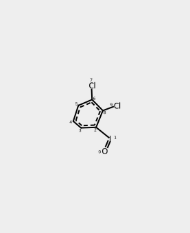 O=Ic1cccc(Cl)c1Cl